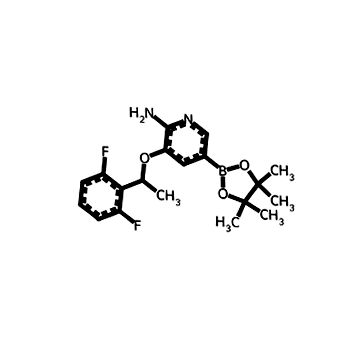 CC(Oc1cc(B2OC(C)(C)C(C)(C)O2)cnc1N)c1c(F)cccc1F